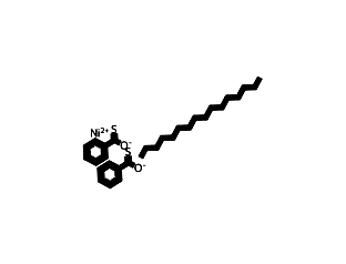 CCCCCCCCCCCCCCCC.[Ni+2].[O-]C(=S)c1ccccc1.[O-]C(=S)c1ccccc1